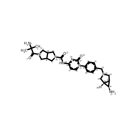 CC(C)(N)C(=O)N1CC2CN(C(=O)Nc3ccn(-c4ccc(CN5CC6[C@@H](N)[C@@H]6C5)cc4)c(=O)n3)CC2C1